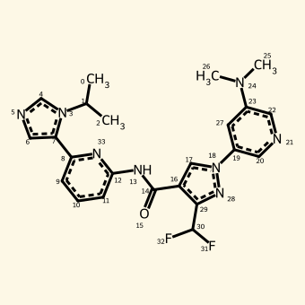 CC(C)n1cncc1-c1cccc(NC(=O)c2cn(-c3cncc(N(C)C)c3)nc2C(F)F)n1